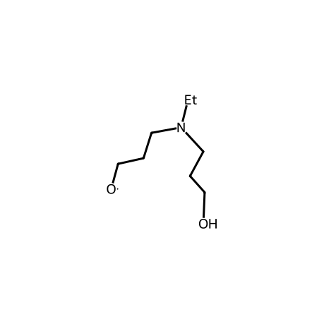 CCN(CCC[O])CCCO